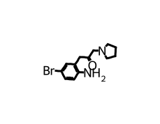 Nc1ccc(Br)cc1CC(=O)CN1CCCC1